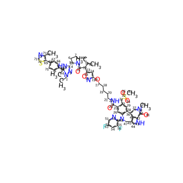 CCN1N=C([C@@H]2CCCN2C(=O)C(c2cc(OCCCCCNC(=O)c3cc4c(cc3CS(C)(=O)=O)-c3cn(C)c(=O)c5[nH]cc(c35)CN4c3ncc(F)cc3F)no2)C(C)C)N[C@@]1(C)c1ccc(-c2scnc2C)cc1